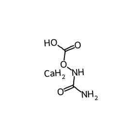 NC(=O)NOC(=O)O.[CaH2]